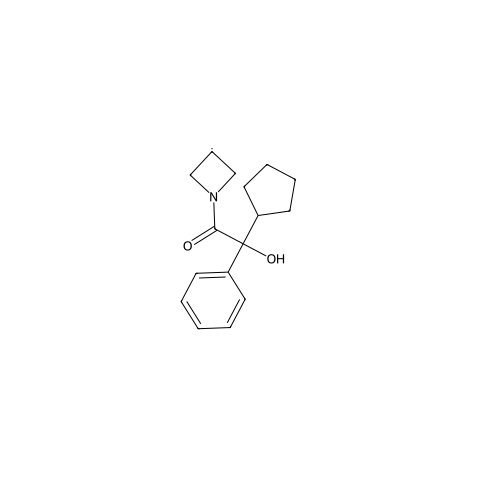 O=C(N1C[CH]C1)C(O)(c1ccccc1)C1CCCC1